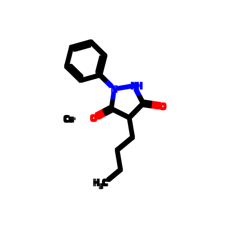 CCCCC1C(=O)NN(c2ccccc2)C1=O.[Cu]